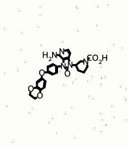 Nc1nccc2c1n(-c1ccc(Oc3ccc4c(c3)OCCO4)cc1)c(=O)n2C1CCCN(C(=O)O)C1